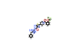 O=C(Nc1nnc(Cc2ccccc2)[nH]1)c1csc(C2CCN(C(=O)c3ccccc3OC(F)(F)F)CC2)n1